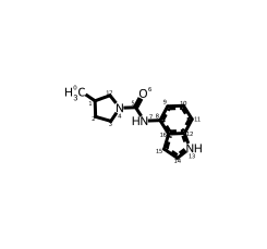 CC1CCN(C(=O)Nc2cccc3[nH]ccc23)C1